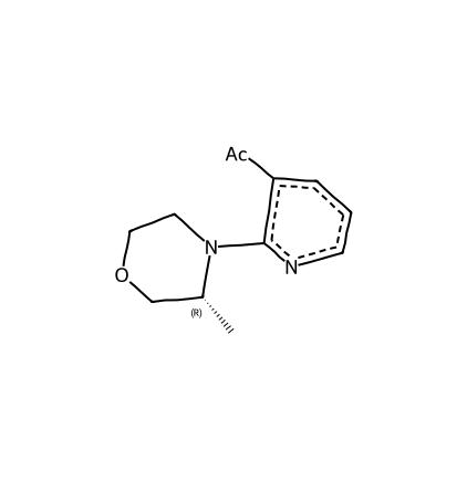 CC(=O)c1cccnc1N1CCOC[C@H]1C